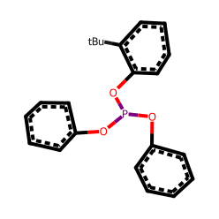 CC(C)(C)c1ccccc1OP(Oc1ccccc1)Oc1ccccc1